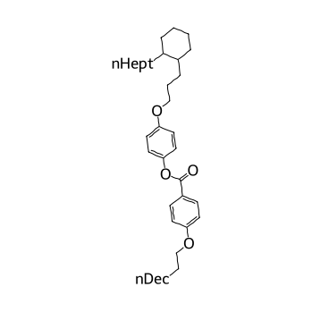 CCCCCCCCCCCCOc1ccc(C(=O)Oc2ccc(OCCCC3CCCCC3CCCCCCC)cc2)cc1